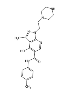 Cc1ccc(NC(=O)c2cnc3c(c(C)nn3CCN3CCNCC3)c2O)cc1